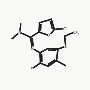 Cc1cc(F)c(/N=C(\c2ccc(Cl)s2)N(C)C)cc1SCC(F)(F)F